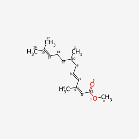 COC(=O)C=C(C)C=CCC(C)CCC=C(C)C